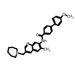 COc1ccc(-c2ccc(C(=O)Nc3cc4ncc(CN5CCCCCC5)cc4cc3C)cc2)cc1